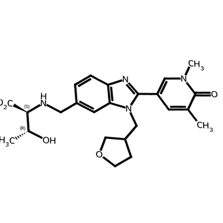 Cc1cc(-c2nc3ccc(CN[C@H](C(=O)O)[C@@H](C)O)cc3n2CC2CCOC2)cn(C)c1=O